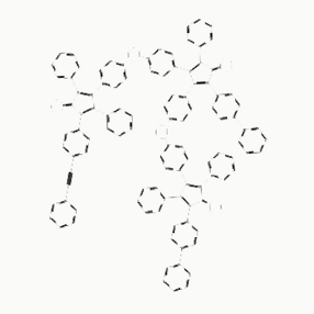 O=C1C(c2ccc(C#Cc3ccccc3)cc2)=C(c2ccccc2)C(c2ccc(Oc3ccc(C4=C(c5ccccc5)C(=O)C(c5ccc(-c6ccccc6)cc5)=C4c4ccc(Oc5ccc(C6=C(c7ccccc7)C(=O)C(c7ccc(-c8ccccc8)cc7)=C6c6ccccc6)cc5)cc4)cc3)cc2)=C1c1ccccc1